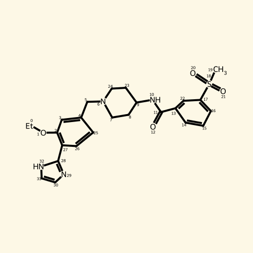 CCOc1cc(CN2CCC(NC(=O)c3cccc(S(C)(=O)=O)c3)CC2)ccc1-c1ncc[nH]1